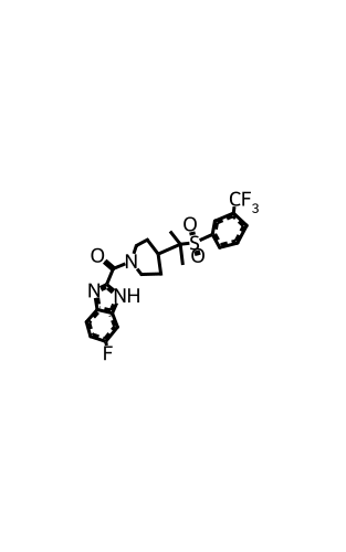 CC(C)(C1CCN(C(=O)c2nc3ccc(F)cc3[nH]2)CC1)S(=O)(=O)c1cccc(C(F)(F)F)c1